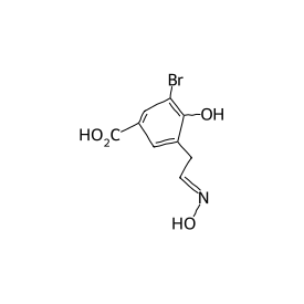 O=C(O)c1cc(Br)c(O)c(CC=NO)c1